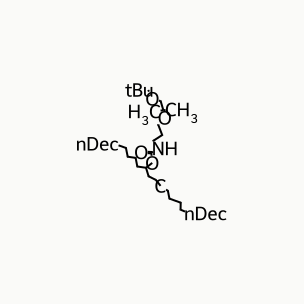 CCCCCCCCCCCCCCCCCC(CCCCCCCCCCCCCC)OC(=O)NCCCOC(C)(C)COC(C)(C)C